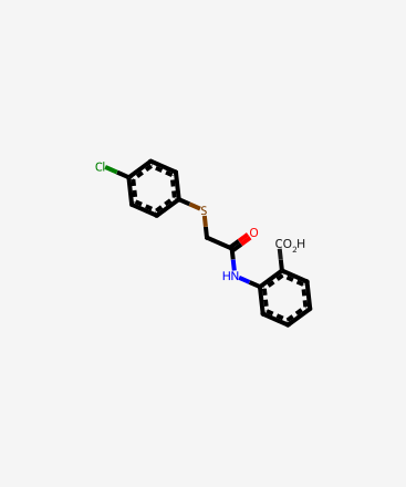 O=C(CSc1ccc(Cl)cc1)Nc1ccccc1C(=O)O